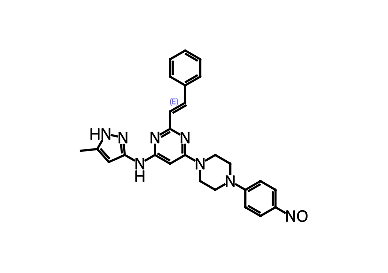 Cc1cc(Nc2cc(N3CCN(c4ccc(N=O)cc4)CC3)nc(/C=C/c3ccccc3)n2)n[nH]1